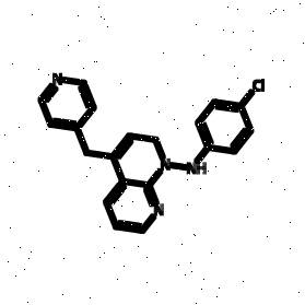 Clc1ccc(NN2CC=C(Cc3ccncc3)c3cccnc32)cc1